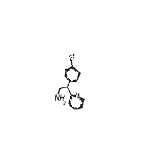 CCc1ccc([C@H](CN)c2ccccn2)cc1